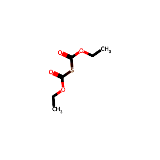 CCOC(=O)SC(=O)OCC